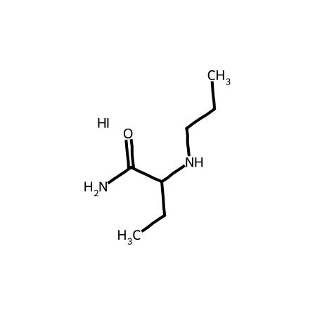 CCCNC(CC)C(N)=O.I